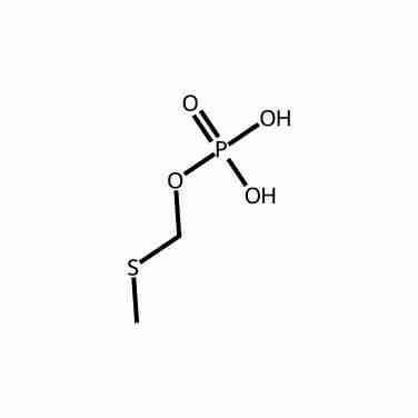 CSCOP(=O)(O)O